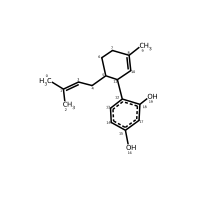 CC(C)=CCC1CCC(C)=CC1c1ccc(O)cc1O